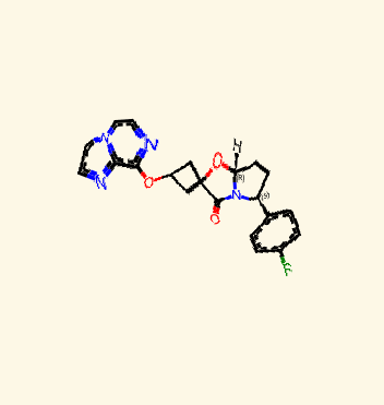 O=C1N2[C@@H](CC[C@H]2c2ccc(F)cc2)OC12CC(Oc1nccn3ccnc13)C2